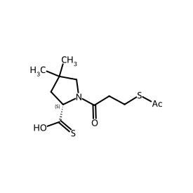 CC(=O)SCCC(=O)N1CC(C)(C)C[C@H]1C(O)=S